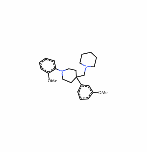 COc1cccc(C2(CN3CCCCC3)CCN(c3ccccc3OC)CC2)c1